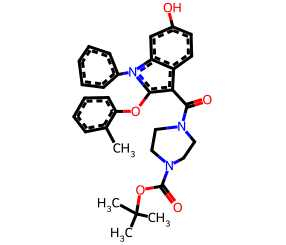 Cc1ccccc1Oc1c(C(=O)N2CCN(C(=O)OC(C)(C)C)CC2)c2ccc(O)cc2n1-c1ccccc1